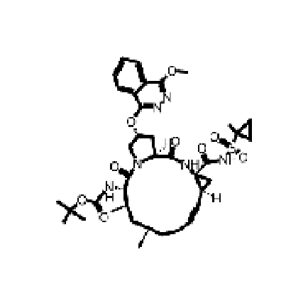 COc1nnc(O[C@@H]2C[C@H]3C(=O)N[C@]4(C(=O)NS(=O)(=O)C5(C)CC5)C[C@H]4/C=C\CC[C@@H](C)C[C@@H](C)[C@H](NC(=O)OC(C)(C)C)C(=O)N3C2)c2ccccc12